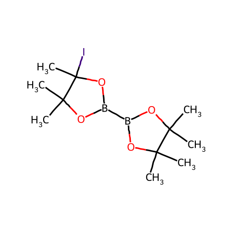 CC1(C)OB(B2OC(C)(C)C(C)(I)O2)OC1(C)C